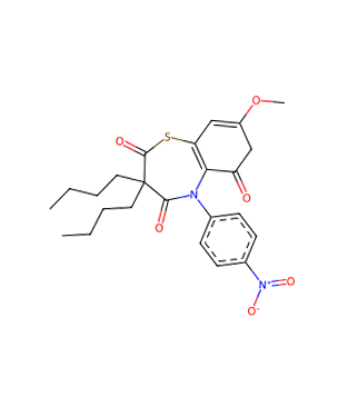 CCCCC1(CCCC)C(=O)SC2=C(C(=O)CC(OC)=C2)N(c2ccc([N+](=O)[O-])cc2)C1=O